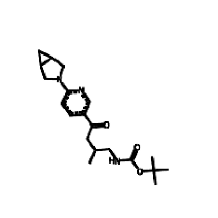 C[C@H](CNC(=O)OC(C)(C)C)CC(=O)c1ccc(N2CC3CC3C2)nc1